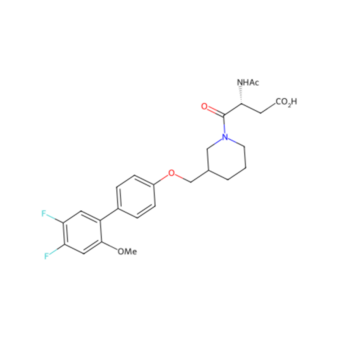 COc1cc(F)c(F)cc1-c1ccc(OCC2CCCN(C(=O)[C@@H](CC(=O)O)NC(C)=O)C2)cc1